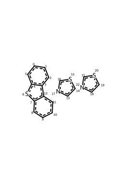 c1ccc2c(c1)sc1ccccc12.c1cscn1.c1cscn1